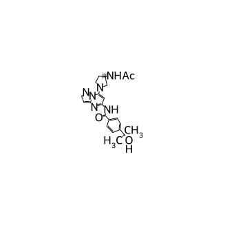 CC(=O)N[C@@H]1CCN(c2cc(NC(=O)c3ccc(C(C)(C)O)cc3)nc3ccnn23)C1